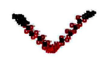 O=[Si]([O-])[O-].O=[Si]([O-])[O-].O=[Si]([O-])[O-].O=[Si]([O-])[O-].O=[Si]([O-])[O-].O=[Si]([O-])[O-].O=[Si]([O-])[O-].O=[Si]([O-])[O-].[Al+3].[Al+3].[Al+3].[Ca+2].[Ca+2].[Ca+2].[Fe+3].[Fe+3].[Fe+3].[OH-].[OH-].[OH-].[OH-].[OH-].[OH-].[OH-].[OH-]